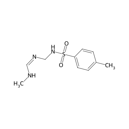 CN/C=N\CNS(=O)(=O)c1ccc(C)cc1